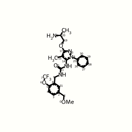 COCc1ccc(OC(F)(F)F)c(CNC(=O)Nc2c(C)c(OCC(C)N)nn2-c2ccccc2)c1